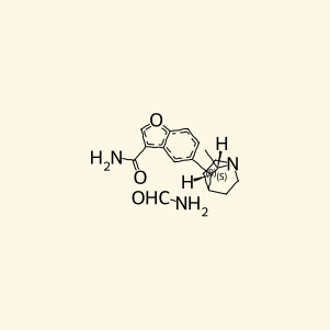 C[C@H]1[C@@H](c2ccc3occ(C(N)=O)c3c2)C2CCN1CC2.NC=O